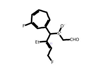 CC/C(=C\CF)C(C1=CCC=CC(F)=C1)[S+]([O-])CC=O